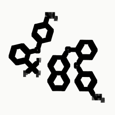 Nc1ccc(Oc2ccccc2C(F)(F)F)cc1.Nc1ccc(Oc2ccccc2Oc2ccc3ccccc3c2)cc1